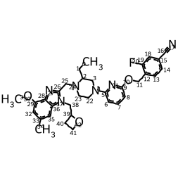 CCC1CN(c2cccc(OCc3ccc(C#N)cc3F)n2)CCN1Cc1nc2c(OC)cc(C)cc2n1CC1CCO1